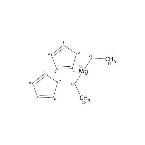 C1=CCC=C1.C1=CCC=C1.C[CH2][Mg][CH2]C